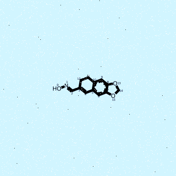 O/N=C/C1=Cc2cc3c(cc2CC1)OCO3